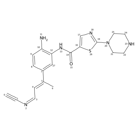 C#C/N=C\C=C(/C)c1ccc(N)c(NC(=O)c2cnc(N3CCNCC3)s2)c1